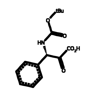 CC(C)(C)OC(=O)N[C@H](C(=O)C(=O)O)c1ccccc1